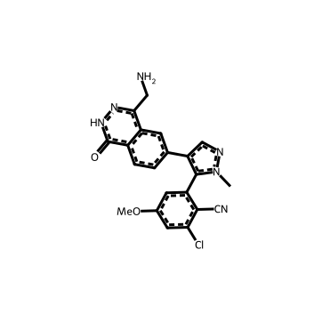 COc1cc(Cl)c(C#N)c(-c2c(-c3ccc4c(=O)[nH]nc(CN)c4c3)cnn2C)c1